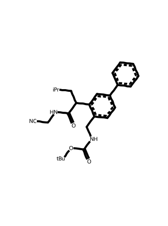 CC(C)CC(C(=O)NCC#N)c1cc(-c2ccccc2)ccc1CNC(=O)OC(C)(C)C